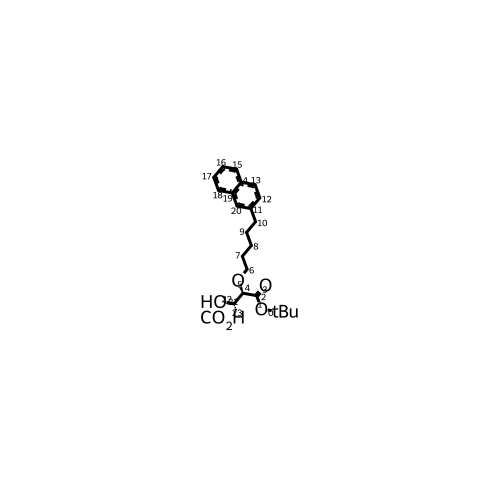 CC(C)(C)OC(=O)[C@H](OCCCCCc1ccc2ccccc2c1)[C@@H](O)C(=O)O